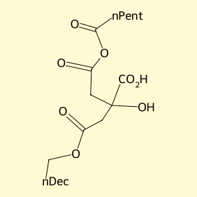 CCCCCCCCCCCOC(=O)CC(O)(CC(=O)OC(=O)CCCCC)C(=O)O